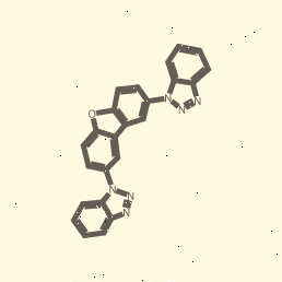 c1ccc2c(c1)nnn2-c1ccc2oc3ccc(-n4nnc5ccccc54)cc3c2c1